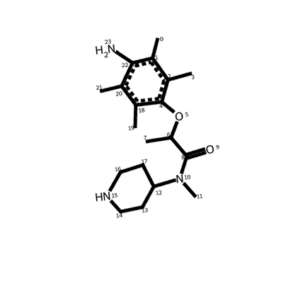 Cc1c(C)c(OC(C)C(=O)N(C)C2CCNCC2)c(C)c(C)c1N